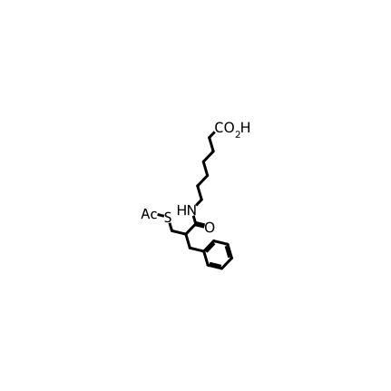 CC(=O)SCC(Cc1ccccc1)C(=O)NCCCCCCC(=O)O